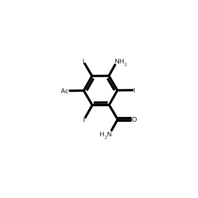 CC(=O)c1c(I)c(N)c(I)c(C(N)=O)c1I